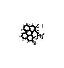 CN(C)p1oc2c(S)cc3ccccc3c2c2c(o1)c(S)cc1ccccc12